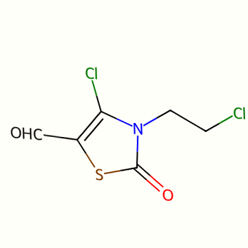 O=Cc1sc(=O)n(CCCl)c1Cl